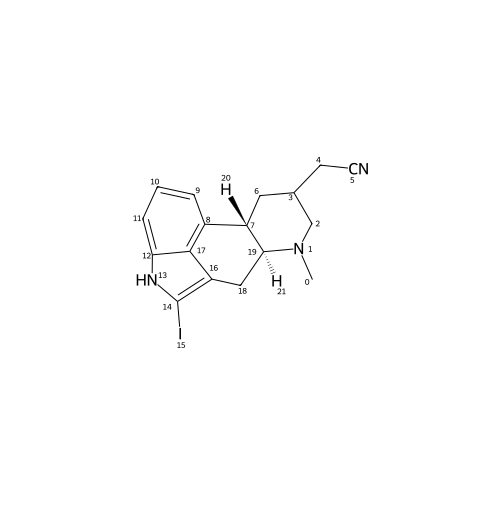 CN1CC(CC#N)C[C@H]2c3cccc4[nH]c(I)c(c34)C[C@@H]21